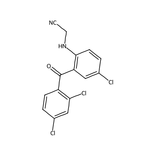 N#CCNc1ccc(Cl)cc1C(=O)c1ccc(Cl)cc1Cl